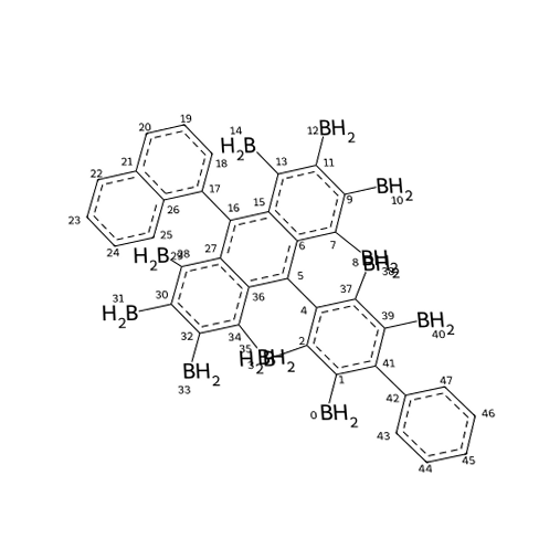 Bc1c(B)c(-c2c3c(B)c(B)c(B)c(B)c3c(-c3cccc4ccccc34)c3c(B)c(B)c(B)c(B)c23)c(B)c(B)c1-c1ccccc1